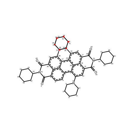 O=C1c2ccc3c4c(N5CCCCC5)cc5c6c(cc(N7CCCCC7)c(c7c(N8CCCCC8)cc(c2c37)C(=O)N1C1CCCCC1)c64)C(=O)N(C1CCCCC1)C5=O